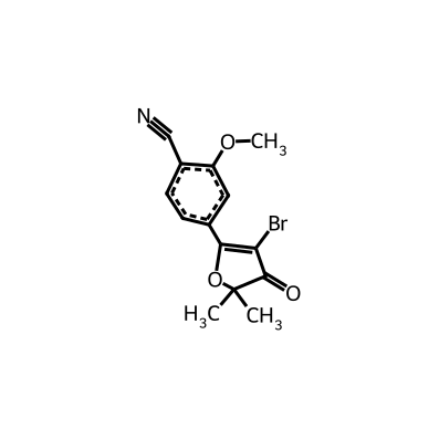 COc1cc(C2=C(Br)C(=O)C(C)(C)O2)ccc1C#N